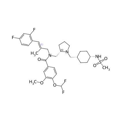 COc1cc(C(=O)N(C/C(C)=C/c2ccc(F)cc2F)C[C@@H]2CCCN2C[C@H]2CC[C@@H](NS(C)(=O)=O)CC2)ccc1OC(F)F